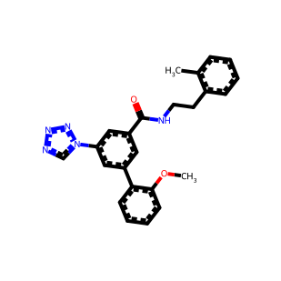 COc1ccccc1-c1cc(C(=O)NCCc2ccccc2C)cc(-n2cnnn2)c1